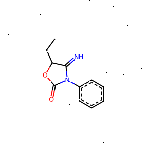 CCC1OC(=O)N(c2ccccc2)C1=N